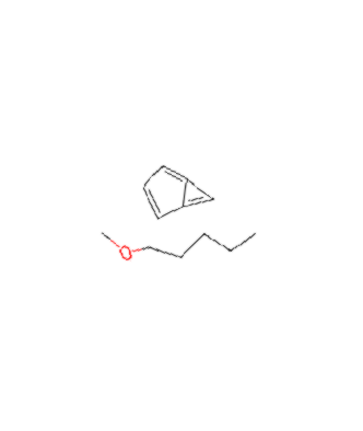 CCCCCOC.c1cc2cc-2c1